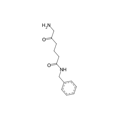 NCC(=O)CCCC(=O)NCc1ccccc1